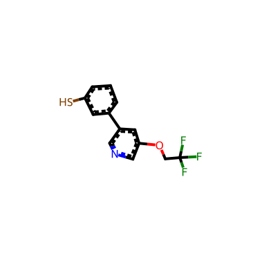 FC(F)(F)COc1cncc(-c2cccc(S)c2)c1